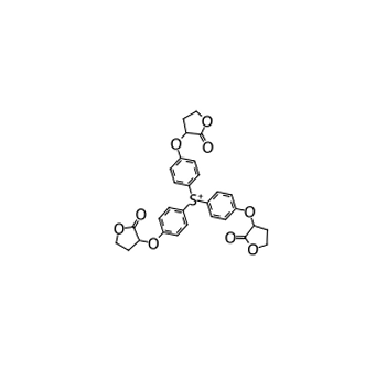 O=C1OCCC1Oc1ccc([S+](c2ccc(OC3CCOC3=O)cc2)c2ccc(OC3CCOC3=O)cc2)cc1